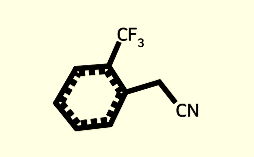 N#CCc1ccccc1C(F)(F)F